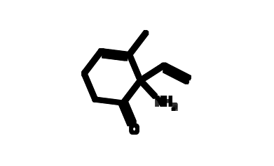 C=CC1(N)C(=O)CCC=C1C